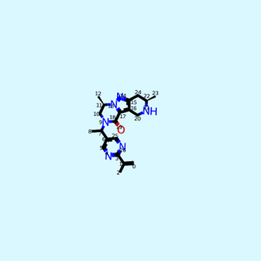 C=C(C)c1ncc(C(C)N2C[C@@H](C)n3nc4c(c3C2=O)CN[C@H](C)C4)cn1